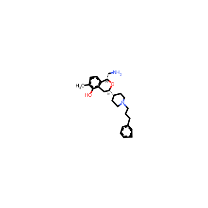 Cc1ccc2c(c1O)C[C@@H](C1CCN(CCCc3ccccc3)CC1)O[C@H]2CN